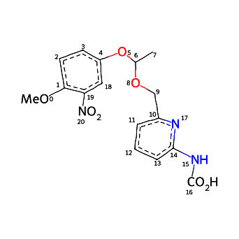 COc1ccc(OC(C)OCc2cccc(NC(=O)O)n2)cc1[N+](=O)[O-]